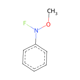 CON(F)c1ccccc1